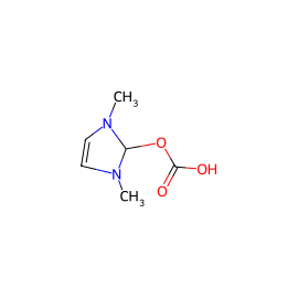 CN1C=CN(C)C1OC(=O)O